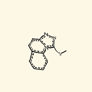 CSc1nnc2ccc3ccccc3n12